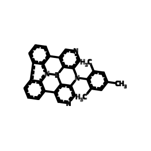 Cc1cc(C)c(N2c3cncc4c3B3c5c(cncc52)-c2cccc5c6cccc-4c6n3c25)c(C)c1